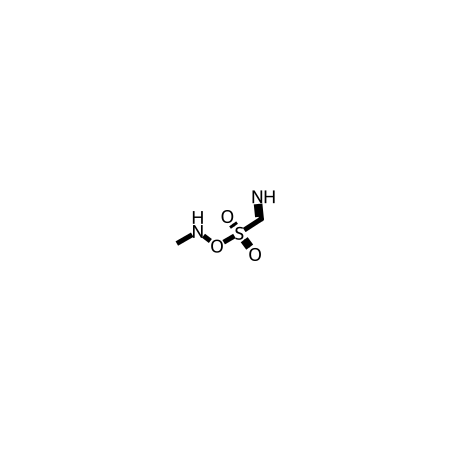 CNOS(=O)(=O)C=N